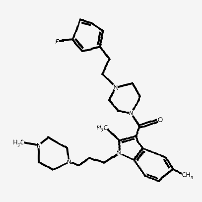 Cc1ccc2c(c1)c(C(=O)N1CCN(CCc3cccc(F)c3)CC1)c(C)n2CCCN1CCN(C)CC1